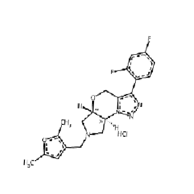 Cc1cc(CN2C[C@@H]3OCc4c(-c5ccc(F)cc5F)nnn4[C@H]3C2)c(C)o1.Cl